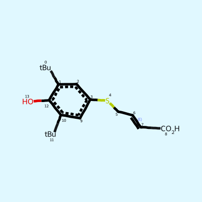 CC(C)(C)c1cc(SC/C=C/C(=O)O)cc(C(C)(C)C)c1O